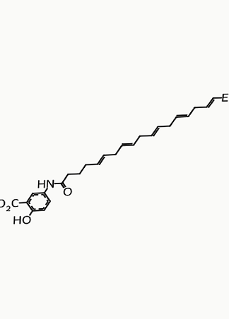 CCC=CCC=CCC=CCC=CCC=CCCCC(=O)Nc1ccc(O)c(C(=O)O)c1